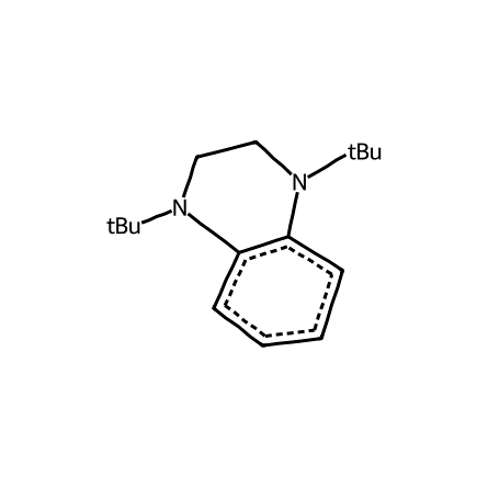 CC(C)(C)N1CCN(C(C)(C)C)c2ccccc21